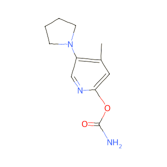 Cc1cc(OC(N)=O)ncc1N1CCCC1